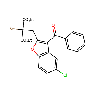 CCOC(=O)C(Br)(Cc1oc2ccc(Cl)cc2c1C(=O)c1ccccc1)C(=O)OCC